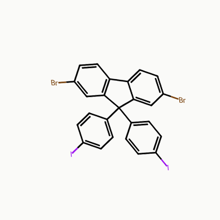 Brc1ccc2c(c1)C(c1ccc(I)cc1)(c1ccc(I)cc1)c1cc(Br)ccc1-2